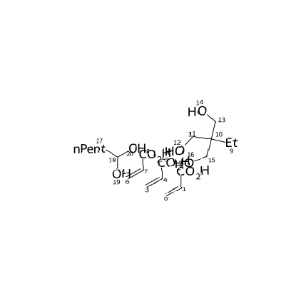 C=CC(=O)O.C=CC(=O)O.C=CC(=O)O.CCC(CO)(CO)CO.CCCCCC(O)O